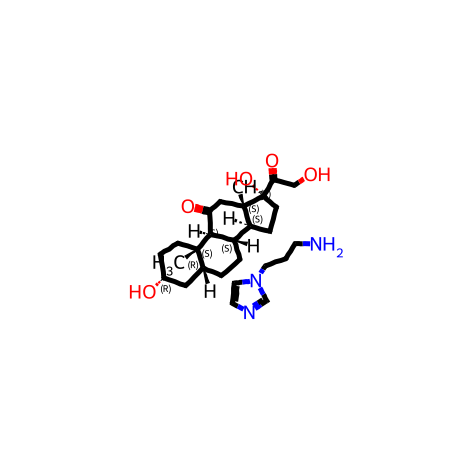 C[C@]12CC[C@@H](O)C[C@H]1CC[C@@H]1[C@@H]2C(=O)C[C@@]2(C)[C@H]1CC[C@]2(O)C(=O)CO.NCCCn1ccnc1